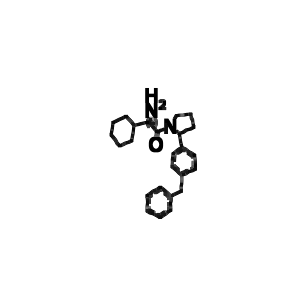 N[C@H](C(=O)N1CCCC1c1ccc(Cc2ccccc2)cc1)C1CCCCC1